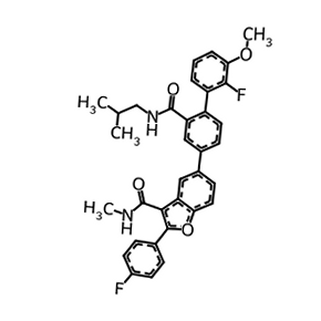 CNC(=O)c1c(-c2ccc(F)cc2)oc2ccc(-c3ccc(-c4cccc(OC)c4F)c(C(=O)NCC(C)C)c3)cc12